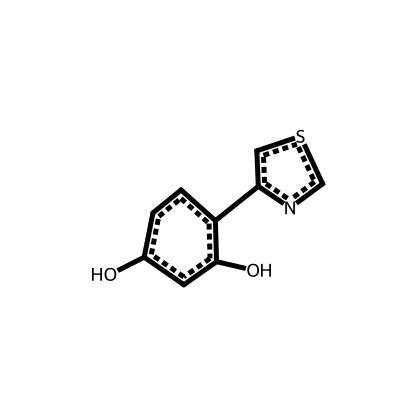 Oc1ccc(-c2cscn2)c(O)c1